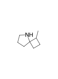 CC1CCC12CCCN2